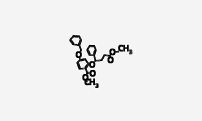 CCOC(=O)CCC(Oc1cc(OCc2ccccc2)ccc1C(=O)OC)c1ccccc1